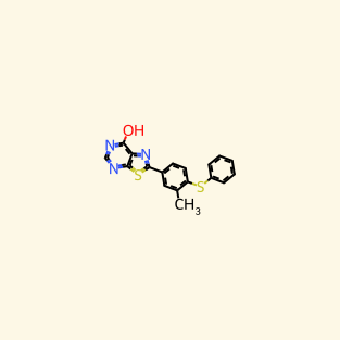 Cc1cc(-c2nc3c(O)ncnc3s2)ccc1Sc1ccccc1